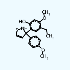 CCc1cc(C2(c3ccc(OC)cc3)C=CSN2)c(O)cc1OC